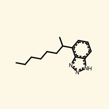 CCCCCCC(C)c1cccc2[nH]nnc12